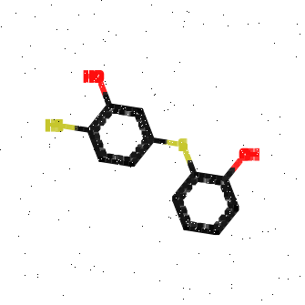 Oc1cc(Sc2ccccc2O)ccc1S